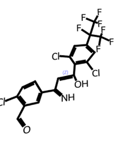 N=C(/C=C(\O)c1c(Cl)cc(C(F)(C(F)(F)F)C(F)(F)F)cc1Cl)c1ccc(Cl)c(C=O)c1